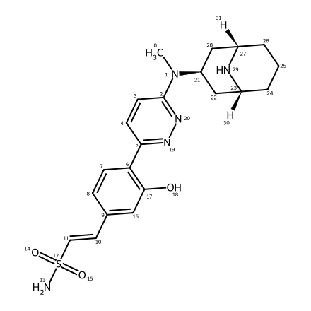 CN(c1ccc(-c2ccc(/C=C/S(N)(=O)=O)cc2O)nn1)[C@@H]1C[C@H]2CCC[C@@H](C1)N2